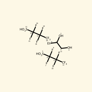 CCC(O)CO.O=S(=O)(O)C(F)(F)C(F)(F)C(F)(F)F.O=S(=O)(O)C(F)(F)C(F)(F)C(F)(F)F